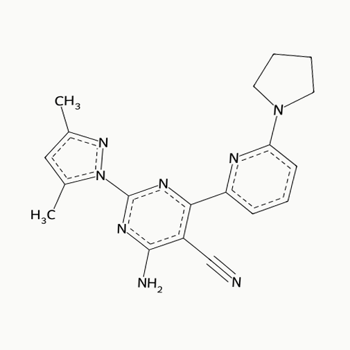 Cc1cc(C)n(-c2nc(N)c(C#N)c(-c3cccc(N4CCCC4)n3)n2)n1